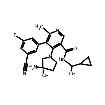 Cc1ncc(C(=O)NC(C)C2CC2)c(N2CC[C@](C)(N)C2)c1-c1cc(F)cc(C#N)c1